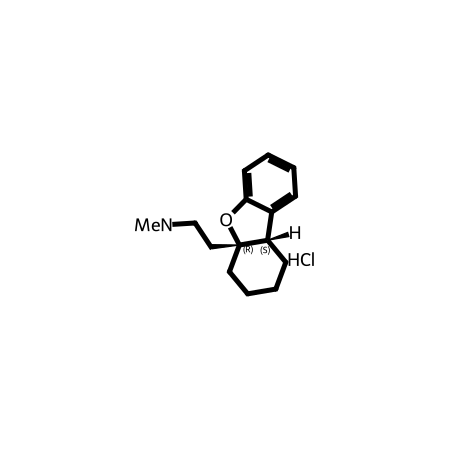 CNCC[C@]12CCCC[C@H]1c1ccccc1O2.Cl